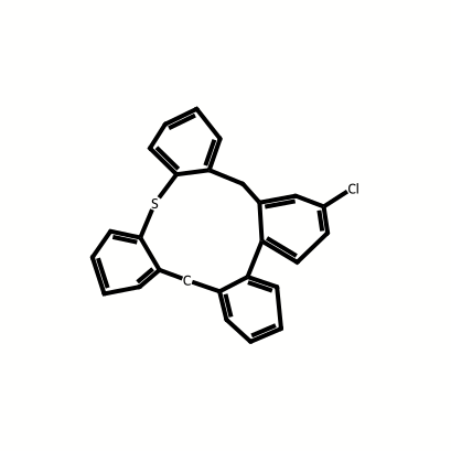 Clc1ccc2c(c1)Cc1ccccc1Sc1ccccc1Cc1ccccc1-2